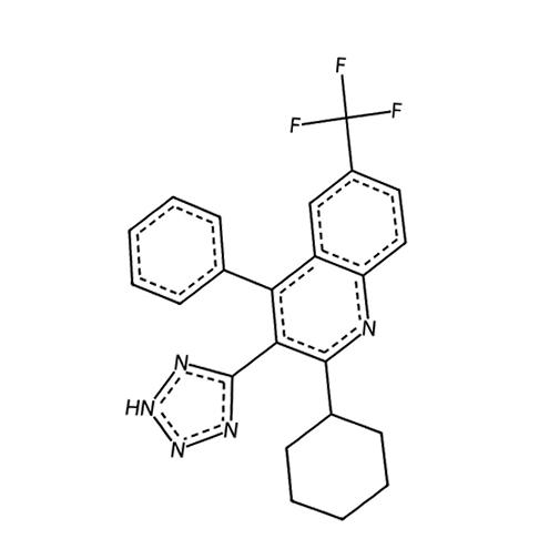 FC(F)(F)c1ccc2nc(C3CCCCC3)c(-c3nn[nH]n3)c(-c3ccccc3)c2c1